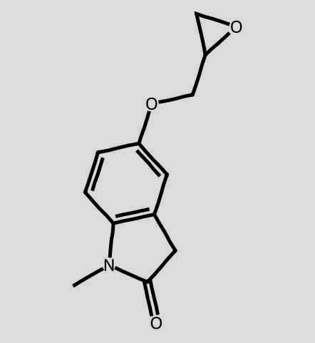 CN1C(=O)Cc2cc(OCC3CO3)ccc21